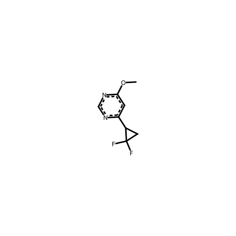 COc1cc(C2CC2(F)F)ncn1